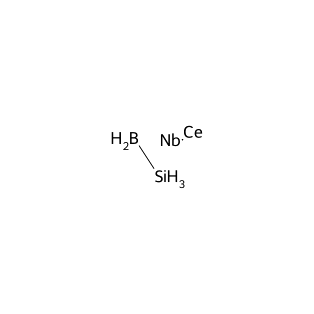 B[SiH3].[Ce].[Nb]